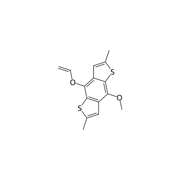 C=COc1c2cc(C)sc2c(OC)c2cc(C)sc12